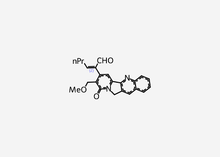 CCC/C=C(\C=O)c1cc2n(c(=O)c1COC)Cc1cc3ccccc3nc1-2